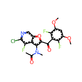 COc1cc(OC)c(F)c(C(=O)c2oc3cnc(Cl)c(F)c3c2N(C)C(C)=O)c1F